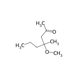 CCCC(C)(CC(C)=O)OC